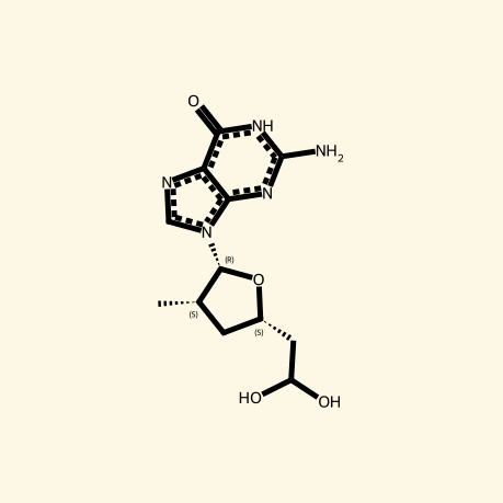 C[C@H]1C[C@@H](CC(O)O)O[C@H]1n1cnc2c(=O)[nH]c(N)nc21